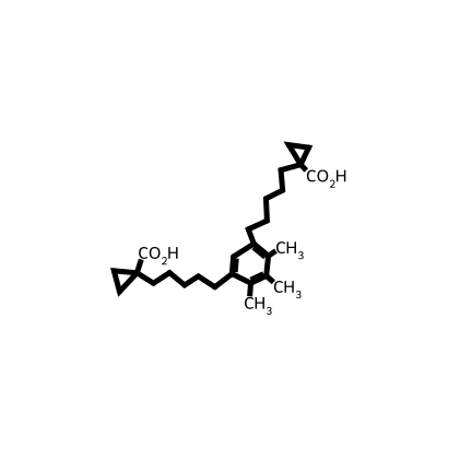 Cc1c(CCCCCC2(C(=O)O)CC2)cc(CCCCCC2(C(=O)O)CC2)c(C)c1C